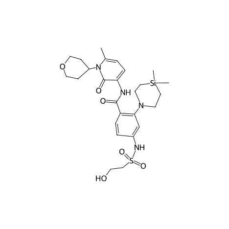 Cc1ccc(NC(=O)c2ccc(NS(=O)(=O)CCO)cc2N2CC[Si](C)(C)CC2)c(=O)n1C1CCOCC1